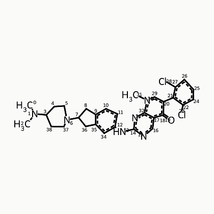 CN(C)C1CCN(C2Cc3ccc(Nc4ncc5c(=O)c(-c6c(Cl)cccc6Cl)cn(C)c5n4)cc3C2)CC1